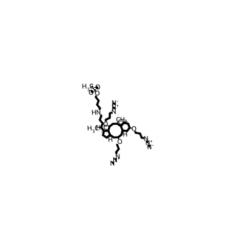 C[C@H](CCCNCCCCOS(C)(=O)=O)C1CC[C@H]2C[C@H](OCCCN=[N+]=[N-])C[C@H]3C[C@H](OCCCN=[N+]=[N-])CC[C@]3(C)[C@H](C)C[C@H](OCCCN=[N+]=[N-])[C@]12C